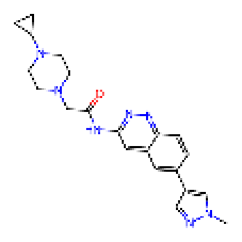 Cn1cc(-c2ccc3nnc(NC(=O)CN4CCN(C5CC5)CC4)cc3c2)cn1